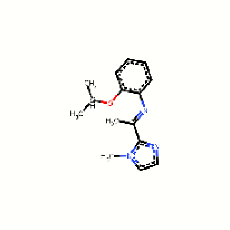 CC(=Nc1ccccc1O[SiH](C)C)c1nccn1C